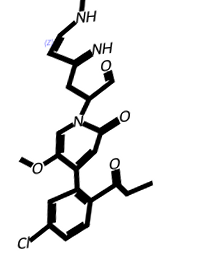 CCC(=O)c1ccc(Cl)cc1-c1cc(=O)n(C(C=O)CC(=N)/C=C\NC)cc1OC